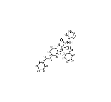 C[C@]1(C(=O)Nc2nncs2)Cc2ccc(C=Cc3ccccc3)cc2[C@H]1c1ccccc1